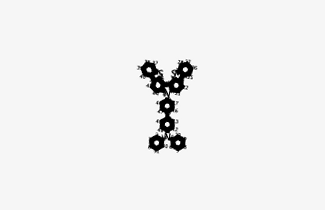 c1ccc(N(c2ccccc2)c2ccc(-c3ccc(-n4c5ccc6c7ccccc7sc6c5c5c6sc7ccccc7c6ccc54)cc3)cc2)cc1